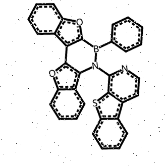 c1ccc(B2c3oc4ccccc4c3-c3oc4ccccc4c3N2c2nccc3c2sc2ccccc23)cc1